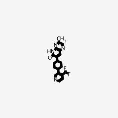 Cc1cnc2cc(C3CCC(c4cnccc4C(F)F)CC3)c(=O)[nH]c2n1